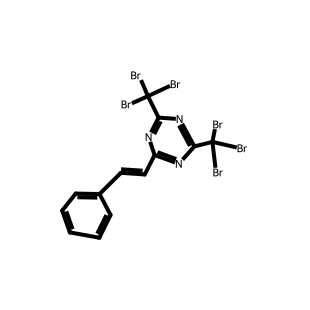 BrC(Br)(Br)c1nc(C=Cc2ccccc2)nc(C(Br)(Br)Br)n1